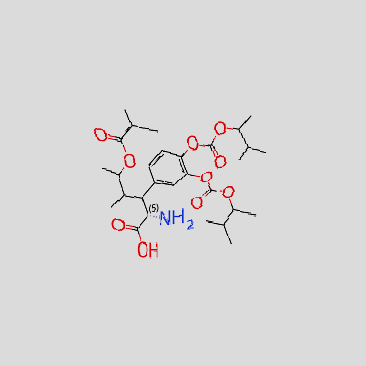 CC(C)C(=O)OC(C)C(C)C(c1ccc(OC(=O)OC(C)C(C)C)c(OC(=O)OC(C)C(C)C)c1)[C@H](N)C(=O)O